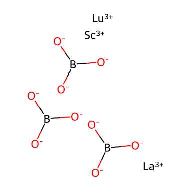 [La+3].[Lu+3].[O-]B([O-])[O-].[O-]B([O-])[O-].[O-]B([O-])[O-].[Sc+3]